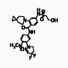 CN(C)c1ccc(NC(=O)c2ccc(NS(=O)(=O)CCO)cc2N2CCC3(CC2)CC3)cc1N1CCC(F)(F)CC1